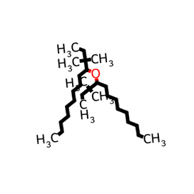 CCCCCCCCCC(OC(CCCCCCCCC)C(C)(C)CC)C(C)(C)CC